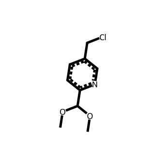 COC(OC)c1ccc(CCl)cn1